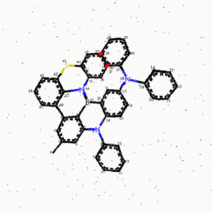 Cc1cc2c3c(c1)N(c1ccccc1)c1ccc(N(c4ccccc4)c4ccccc4)cc1B3N1c3ccccc3Sc3cccc-2c31